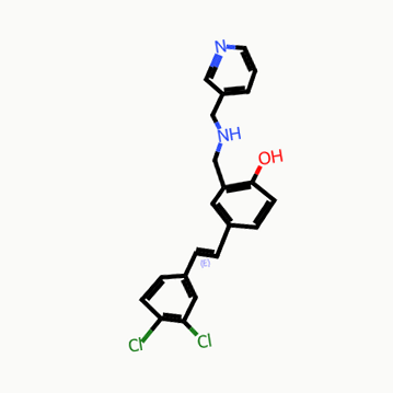 Oc1ccc(/C=C/c2ccc(Cl)c(Cl)c2)cc1CNCc1cccnc1